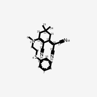 CN(CCSc1ccccc1)C1=C(C#N)C(=C(C#N)C#N)CC(C)(C)C1